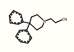 N#CCCN1CCC(c2ccccc2)(c2ccccc2)CC1